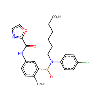 COc1ccc(NC(=O)c2ncco2)cc1[S+]([O-])N(CCCCCC(=O)O)c1ccc(Br)cc1